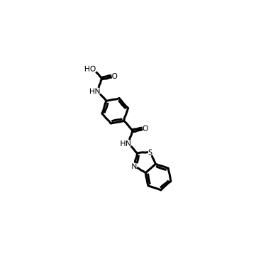 O=C(O)Nc1ccc(C(=O)Nc2nc3ccccc3s2)cc1